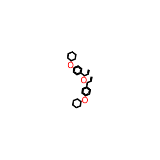 C=CC(OC(C=C)c1ccc(OC2CCCCC2)cc1)c1ccc(OC2CCCCC2)cc1